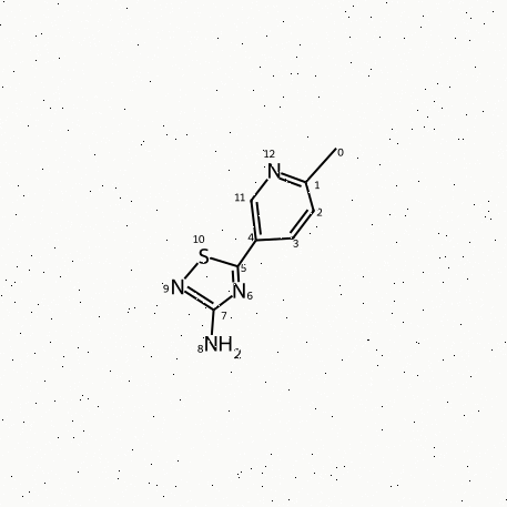 Cc1ccc(-c2nc(N)ns2)cn1